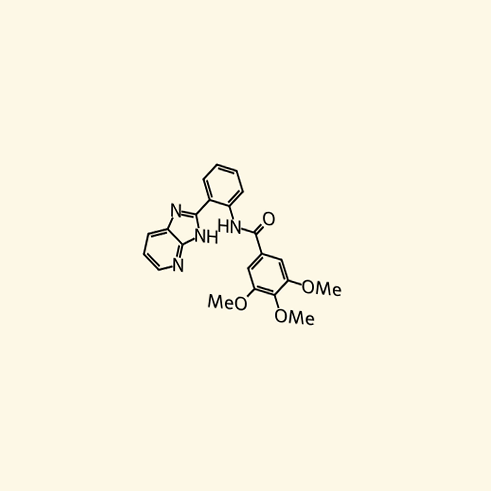 COc1cc(C(=O)Nc2ccccc2-c2nc3cccnc3[nH]2)cc(OC)c1OC